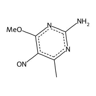 COc1nc(N)nc(C)c1N=O